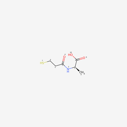 C[C@@H](NC(=O)CCS)C(=O)O